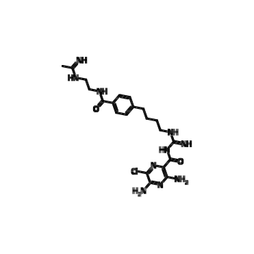 CC(=N)NCCNC(=O)c1ccc(CCCCNC(=N)NC(=O)c2nc(Cl)c(N)nc2N)cc1